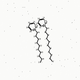 CCCCCCCCCCCN1C=CC=CO1.CCCCCCCCCCN1C=CC=CO1